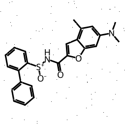 Cc1cc(N(C)C)cc2oc(C(=O)N[S+]([O-])c3ccccc3-c3ccccc3)cc12